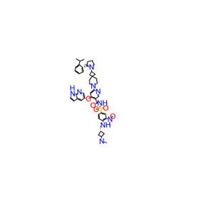 CC(C)c1ccccc1[C@@H]1CCCN1C1CC2(CCN(c3cc(Oc4cnc5[nH]ccc5c4)c(C(=O)NS(=O)(=O)c4ccc(NC[C@H]5C[C@H](N(C)C)C5)c(N=O)c4)cn3)CC2)C1